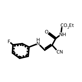 CCOC(=O)NC(=O)C(C#N)=CNc1cccc(F)c1